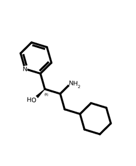 NC(CC1CCCCC1)[C@@H](O)c1ccccn1